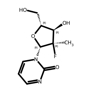 C[C@@]1(F)[C@H](O)[C@@H](CO)O[C@H]1n1cccnc1=O